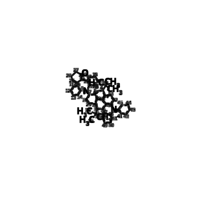 CC(C)(C)c1cc2c(N(c3ccccc3)c3cccc4oc5c(c34)C=CCC5)ccc3c(C(C)(C)C)cc4c(N(c5ccccc5)c5ccccc5)ccc1c4c23